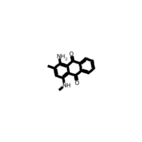 CNc1cc(C)c(N)c2c1C(=O)c1ccccc1C2=O